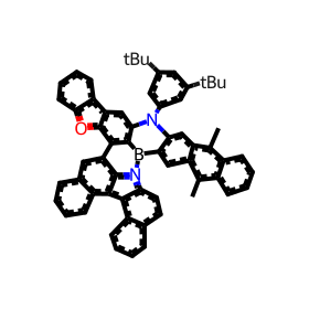 Cc1c2ccccc2c(C)c2cc3c(cc12)B1c2c(cc4c(oc5ccccc54)c2-c2cc4ccccc4c4c5c6ccccc6ccc5n1c24)N3c1cc(C(C)(C)C)cc(C(C)(C)C)c1